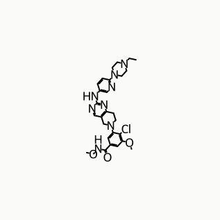 CCN1CCN(c2ccc(Nc3ncc4c(n3)CCN(c3cc(C(=O)NOC)cc(OC)c3Cl)C4)cn2)CC1